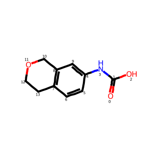 O=C(O)Nc1ccc2c(c1)COCC2